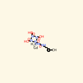 C#Cc1cccc(CCCCNC(=O)CNC(=O)C(C)N2CCN(CC(=O)O)CCN(CC(=O)O)CCN(CC(=O)O)CC2)c1.[Gd]